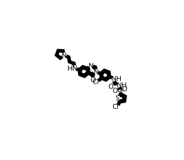 O=C(Nc1ccc(-n2cnc3cc(NCCCN4CCCC4)ccc3c2=O)c(Cl)c1)NS(=O)(=O)c1ccc(Cl)s1